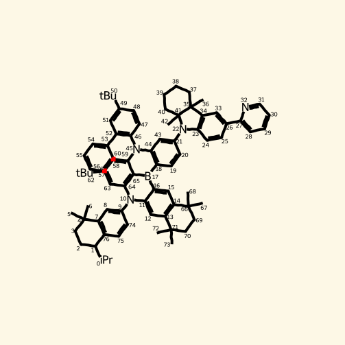 CC(C)C1CCC(C)(C)c2cc(N3c4cc5c(cc4B4c6ccc(N7c8ccc(-c9ccccn9)cc8C8(C)CCCCC78C)cc6N(c6ccc(C(C)(C)C)cc6-c6ccccc6)c6cc(C(C)(C)C)cc3c64)C(C)(C)CCC5(C)C)ccc21